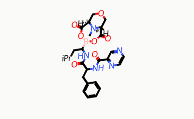 CC(C)CC(NC(=O)C(Cc1ccccc1)NC(=O)c1cnccn1)B1OC(=O)[C@H]2COC[C@H](C(=O)O1)N2C